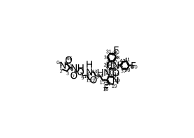 CN1CCC(NC(=O)OC[C@@H]2CO[C@H](CCc3c(F)cncc3N[C@@H](Cc3ccc(F)cc3)C(=O)Nc3ccc(F)cc3)CN2)C1=O